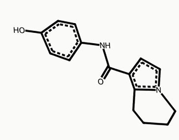 O=C(Nc1ccc(O)cc1)c1ccn2c1CCCC2